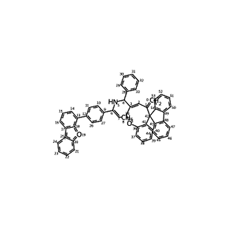 C=C1/C=C(/C(N/C(=C\C)c2ccc(-c3cccc4c3oc3ccccc34)cc2)c2ccccc2)COc2ccccc2C12c1ccccc1-c1ccccc12